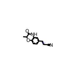 CC1Oc2ccc(/C=C/C#N)cc2NC1=O